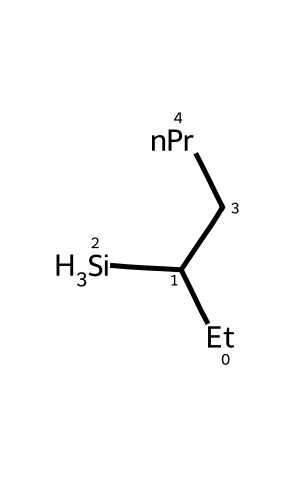 [CH2]CC([SiH3])CCCC